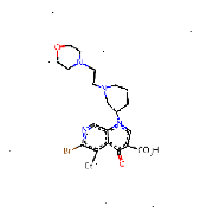 CCc1c(Br)ncc2c1c(=O)c(C(=O)O)cn2C1CCCN(CCN2CCOCC2)C1